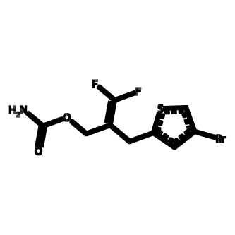 NC(=O)OCC(Cc1cc(Br)cs1)=C(F)F